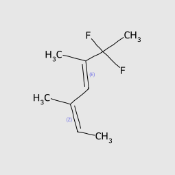 C/C=C(C)\C=C(/C)C(C)(F)F